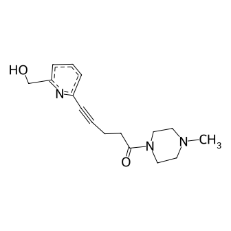 CN1CCN(C(=O)CCC#Cc2cccc(CO)n2)CC1